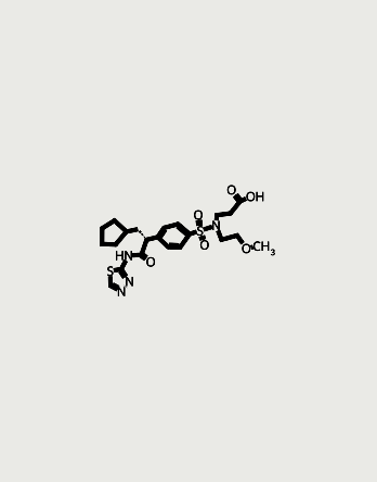 COCCN(CCC(=O)O)S(=O)(=O)c1ccc([C@@H](CC2CCCC2)C(=O)Nc2nncs2)cc1